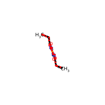 CCCCCCCC/C=C\CCCCCCCC(=O)OCCN1CCN(CCSSCCN2CCN(CCOC(=O)CCCCCCC/C=C\CCCCCCCC)CC2)CC1